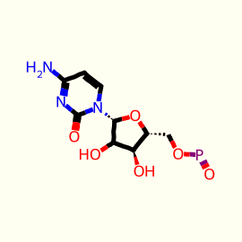 Nc1ccn([C@@H]2O[C@H](COP=O)[C@@H](O)C2O)c(=O)n1